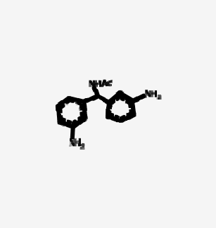 CC(=O)NC(c1cccc(N)c1)c1cccc(N)c1